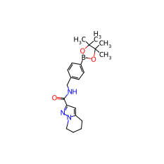 CC1(C)OB(c2ccc(CNC(=O)c3cc4n(n3)CCCC4)cc2)OC1(C)C